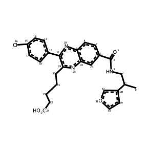 CC(CNC(=O)c1ccc2nc(-c3ccc(Cl)cc3)c(CCCCC(=O)O)nc2c1)c1ccoc1